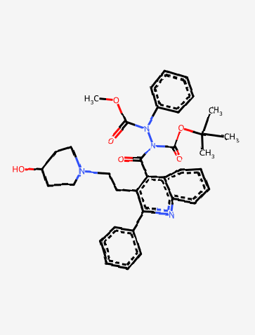 COC(=O)N(c1ccccc1)N(C(=O)OC(C)(C)C)C(=O)c1c(CCN2CCC(O)CC2)c(-c2ccccc2)nc2ccccc12